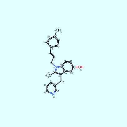 Cc1ccc(/C=C/Cn2c(C)c(Cc3cccnc3)c3cc(O)ccc32)cc1